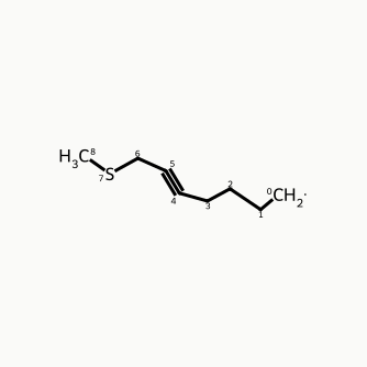 [CH2]CCCC#CCSC